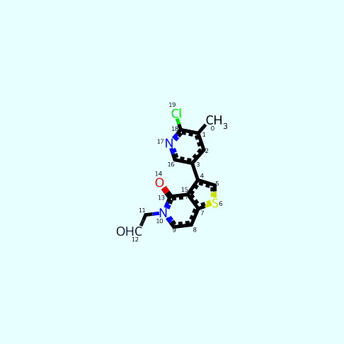 Cc1cc(-c2csc3ccn(CC=O)c(=O)c23)cnc1Cl